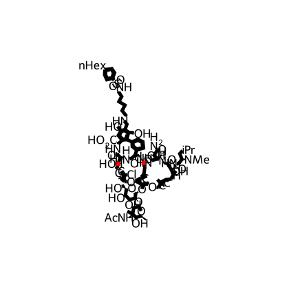 CCCCCCc1ccc(S(=O)(=O)NCCCCCCNCc2c(O)cc3c(c2C)-c2cc(ccc2O)[C@H]2NC(=O)[C@@H]4NC(=O)[C@H](CC(N)=O)NC(=O)[C@H](NC(=O)[C@@H](CC(C)C)NC)[C@H](O)c5ccc(c(C)c5)Oc5cc4cc(c5O[C@@H]4O[C@H](CO)[C@@H](O)[C@H](O)[C@H]4O[C@H]4C[C@](C)(NC(C)=O)[C@H](O)[C@H](C)O4)Oc4ccc(cc4Cl)[C@@H](O)[C@H](NC2=O)C(=O)N[C@@H]3C(=O)O)cc1